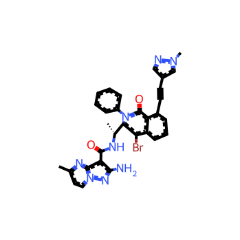 Cc1ccn2nc(N)c(C(=O)N[C@H](C)c3c(Br)c4cccc(C#Cc5cnn(C)c5)c4c(=O)n3-c3ccccc3)c2n1